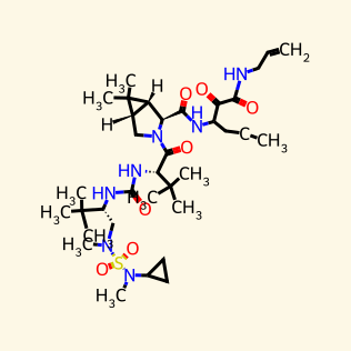 C=CCNC(=O)C(=O)C(CCC)NC(=O)[C@@H]1[C@@H]2[C@H](CN1C(=O)[C@@H](NC(=O)N[C@H](CN(C)S(=O)(=O)N(C)C1CC1)C(C)(C)C)C(C)(C)C)C2(C)C